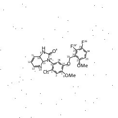 COc1cc(Cl)c(N2C(=O)NC3C=CC=NC32)cc1OCc1c(OC)ccc(F)c1F